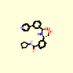 O=C(NC1CCCC1)c1cccc([C@@H](CO)NC(O)c2cccc(-c3ccncc3)c2)c1